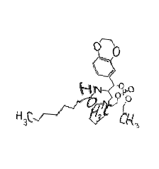 CCCCCCCC(=O)NC(CN1CCCC1)C(OP(=O)(OCC)OCC)c1ccc2c(c1)OCCO2